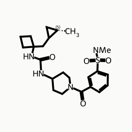 CNS(=O)(=O)c1cccc(C(=O)N2CCC(NC(=O)NC3(CC4C[C@@H]4C)CCC3)CC2)c1